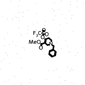 COC(=O)C1=C(OS(=O)(=O)C(F)(F)F)CCN(Cc2ccccc2)C1